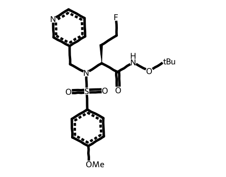 COc1ccc(S(=O)(=O)N(Cc2cccnc2)[C@@H](CCF)C(=O)NOC(C)(C)C)cc1